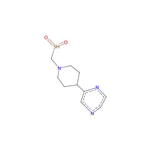 O=[SH](=O)CN1CCC(c2cnccn2)CC1